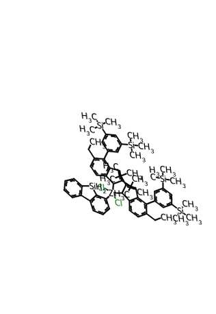 CCc1ccc2c(c1-c1cc([Si](C)(C)C)cc([Si](C)(C)C)c1)C=C(C(C)(C)C)[CH]2[Zr]([Cl])([Cl])([c]1cccc2c1[SiH2]c1ccccc1-2)[CH]1C(C(C)(C)C)=Cc2c1ccc(CC)c2-c1cc([Si](C)(C)C)cc([Si](C)(C)C)c1